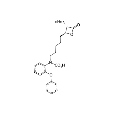 CCCCCC[C@@H]1C(=O)O[C@H]1CCCCCN(C(=O)O)c1ccccc1Oc1ccccc1